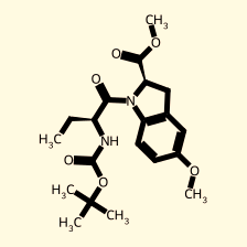 CC[C@H](NC(=O)OC(C)(C)C)C(=O)N1c2ccc(OC)cc2C[C@@H]1C(=O)OC